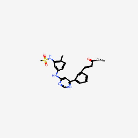 COC(=O)C=Cc1cccc(-c2cc(Nc3ccc(C)c(NS(C)(=O)=O)c3)ncn2)c1